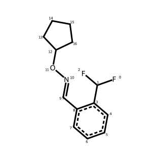 FC(F)c1ccccc1/[C]=N/OC1CCCC1